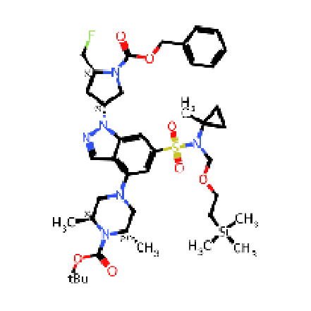 C[C@H]1CN(c2cc(S(=O)(=O)N(COCC[Si](C)(C)C)C3(C)CC3)cc3c2cnn3[C@@H]2C[C@@H](CF)N(C(=O)OCc3ccccc3)C2)C[C@H](C)N1C(=O)OC(C)(C)C